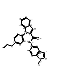 CCCc1ccc(-n2c(C(=O)Nc3ccc4c(ccn4C)c3)cc3ccccc32)cc1